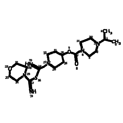 CC(C)N1CCN(C(=O)OC2CCN(C(=N)SC(=N)N3CCOCC3)CC2)CC1